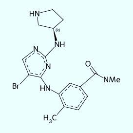 CNC(=O)c1ccc(C)c(Nc2nc(N[C@@H]3CCNC3)ncc2Br)c1